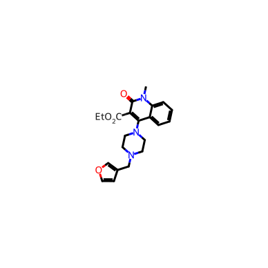 CCOC(=O)c1c(N2CCN(Cc3ccoc3)CC2)c2ccccc2n(C)c1=O